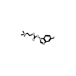 C[Si](C)(C)CCOC(=O)On1cnc2cc(F)ccc21